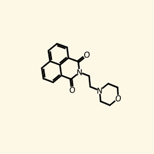 O=C1c2cccc3cccc(c23)C(=O)N1CCN1CCOCC1